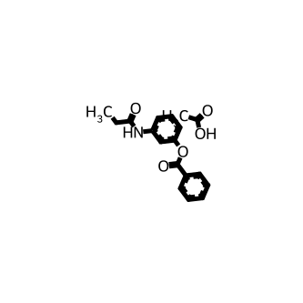 CC(=O)O.CCC(=O)Nc1cccc(OC(=O)c2ccccc2)c1